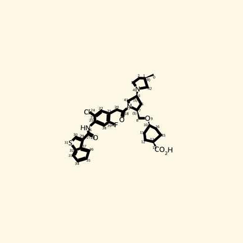 C[C@@H]1CCN([C@H]2C[C@@H](CO[C@H]3CC[C@H](C(=O)O)CC3)N(C(=O)Cc3cc(Cl)c(NC(=O)c4csc5ccccc45)cc3F)C2)C1